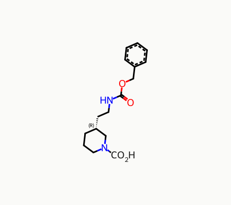 O=C(NCC[C@H]1CCCN(C(=O)O)C1)OCc1ccccc1